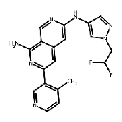 Cc1ccncc1-c1cc2cc(Nc3cnn(CC(F)F)c3)ncc2c(N)n1